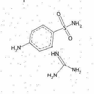 N=C(N)N.Nc1ccc(S(N)(=O)=O)cc1